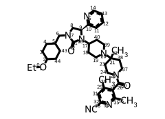 CCOC1CCC(CN2C[C@@H](c3ccccn3)N(C3CCN(C4(C)CCN(C(=O)c5c(C)cc(C#N)nc5C)CC4)CC3)C2=O)CC1